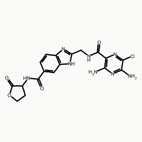 Nc1nc(N)c(C(=O)NCc2nc3ccc(C(=O)NC4CCOC4=O)cc3[nH]2)nc1Cl